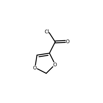 O=C(Cl)C1=COCO1